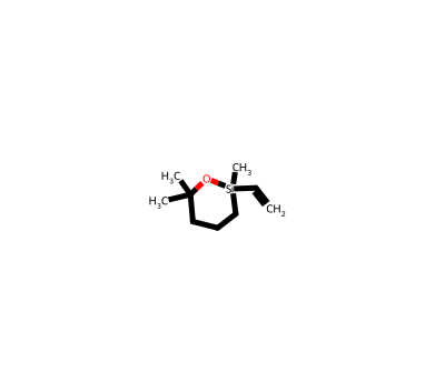 C=C[Si]1(C)CCCC(C)(C)O1